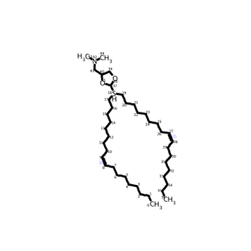 CCCCCCCC/C=C\CCCCCCCC[SH](CCCCCCCC/C=C\CCCCCCCC)C1OCC(CN(C)C)O1